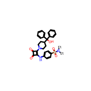 CCN(CC)S(=O)(=O)c1ccc(Nc2c(N3CCC(C(O)(c4ccccc4)c4ccccc4)CC3)c(=O)c2=O)cc1